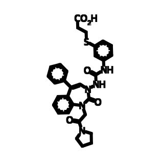 O=C(O)CCSc1cccc(NC(=O)NN2C=C(c3ccccc3)c3ccccc3N(CC(=O)N3CCCC3)C2=O)c1